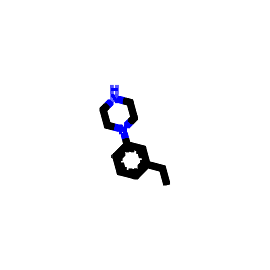 CCc1cc[c]c(N2CCNCC2)c1